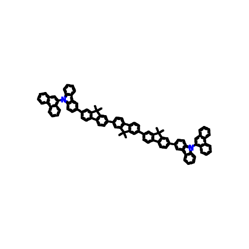 CC1(C)c2cc(-c3ccc4c(c3)C(C)(C)c3cc(-c5ccc6c(c5)c5ccccc5n6-c5cc6ccccc6c6ccccc56)ccc3-4)ccc2-c2ccc(-c3ccc4c(c3)C(C)(C)c3cc(-c5ccc6c(c5)c5ccccc5n6-c5cc6ccccc6c6ccccc56)ccc3-4)cc21